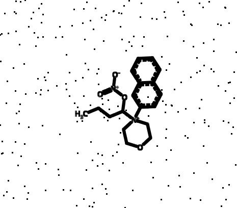 CCCC(O[N+](=O)[O-])[N+]1(c2ccc3ccccc3c2)CCOCC1